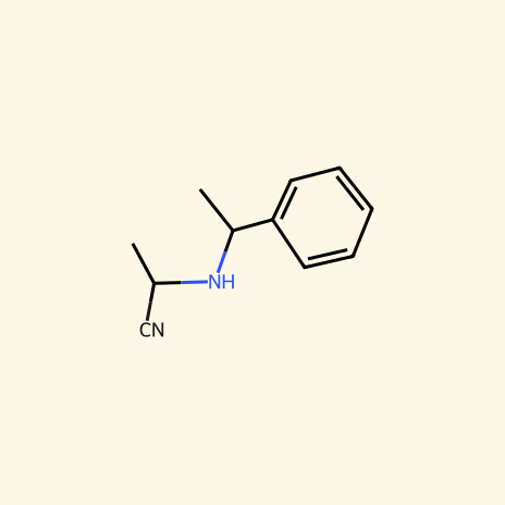 CC(C#N)NC(C)c1ccccc1